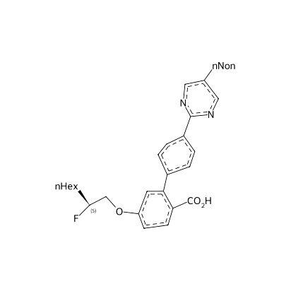 CCCCCCCCCc1cnc(-c2ccc(-c3cc(OC[C@@H](F)CCCCCC)ccc3C(=O)O)cc2)nc1